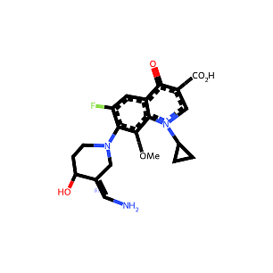 COc1c(N2CCC(O)/C(=C/N)C2)c(F)cc2c(=O)c(C(=O)O)cn(C3CC3)c12